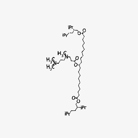 CC(C)CCC(COC(=O)CCCCCCCCCC(CCCCCCCCCC(=O)OCC(CCC(C)C)C(C)C)OC(=O)CCN(C)CCCN(C)C)C(C)C